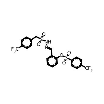 O=S(=O)(Cc1ccc(C(F)(F)F)cc1)N/N=C/c1ccccc1OS(=O)(=O)c1ccc(C(F)(F)F)cc1